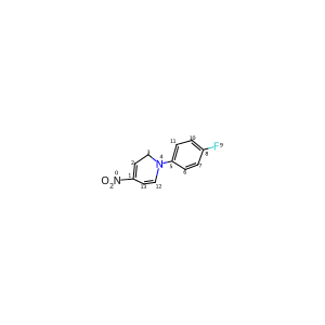 O=[N+]([O-])C1=CCN(c2ccc(F)cc2)C=C1